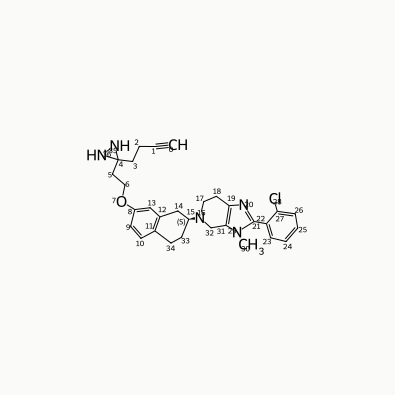 C#CCCC1(CCOc2ccc3c(c2)C[C@@H](N2CCc4nc(-c5ccccc5Cl)n(C)c4C2)CC3)NN1